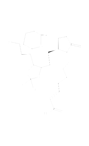 CCCCC1OC(C)(C)OC1CC[C@H]1[C@H](OC2CCCCO2)CC(=O)[C@@H]1CCCCC=CC(=O)O